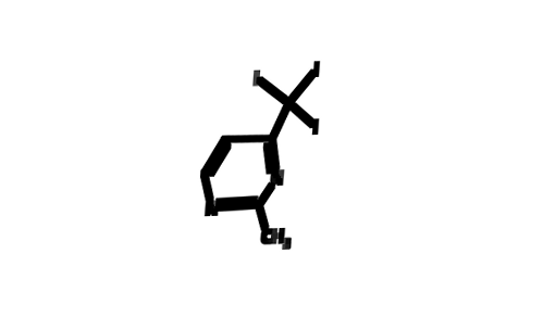 Cc1nccc(C(I)(I)I)n1